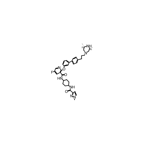 C[C@@H]1CN(CCCc2ccc(-c3cccc(Oc4ncc(F)cc4C(=O)NC4CCC(NC(=O)c5ccn(C)n5)CC4)c3)cc2)C[C@H](C)N1